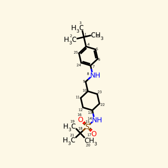 CC(C)(C)c1ccc(NCC2CCC(NS(=O)(=O)C(C)(C)C)CC2)cc1